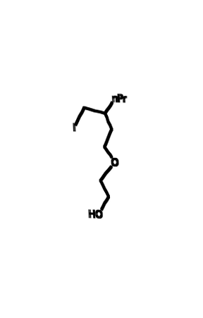 CCCC(CI)CCOCCO